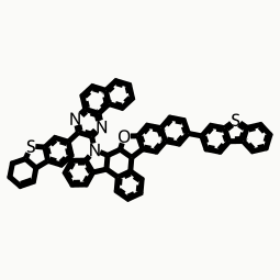 C1=CC2c3ccc(-c4nc5ccc6ccccc6c5nc4N4c5ccccc5C5c6ccccc6C6c7cc8cc(-c9ccc%10c(c9)sc9ccccc9%10)ccc8cc7OC6C54)cc3SC2CC1